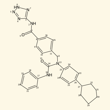 O=C(Nc1nn[nH]n1)c1ccc(CN(C(=O)Nc2ccccc2)c2ccc(C3CCCCC3)cc2)cc1